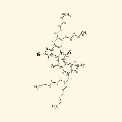 CCCCCCC(CCCCCC)CC1=CN2C(=O)C3=C4c5sc(Br)cc5C(CC(CCCCCC)CCCCCC)=CN4C(=O)C3=C2c2sc(Br)cc21